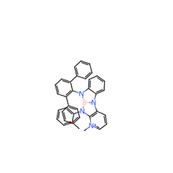 Cc1ccccc1N1B2N(c3ccccc3N2c2c(-c3ccccc3)cccc2-c2ccccc2)c2ccc[n+](C)c21